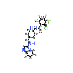 Cc1c(F)c(F)c(F)c(Cl)c1C(=O)NC1CCC(CNc2cnc3ccccn23)CC1